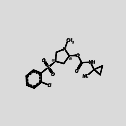 CN1C[C@H](S(=O)(=O)c2ccccc2Cl)C[C@@H]1OC(=O)NC1(C#N)CC1